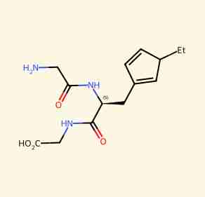 CCC1C=CC(C[C@H](NC(=O)CN)C(=O)NCC(=O)O)=C1